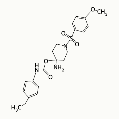 CCc1ccc(NC(=O)OC2(N)CCN(S(=O)(=O)c3ccc(OC)cc3)CC2)cc1